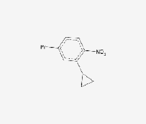 [CH2]C(C)c1ccc([N+](=O)[O-])c(C2CC2)c1